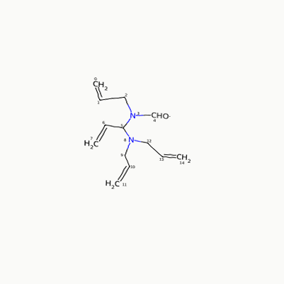 C=CCN([C]=O)C(C=C)N(CC=C)CC=C